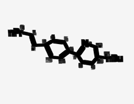 CCCC=Cc1ccc(-c2ccc(CCCC)cn2)cc1